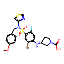 COc1ccc(CN(c2cscn2)S(=O)(=O)c2cc(Br)c(N[C@H]3CCN(C(=O)O)C3)cc2F)cc1